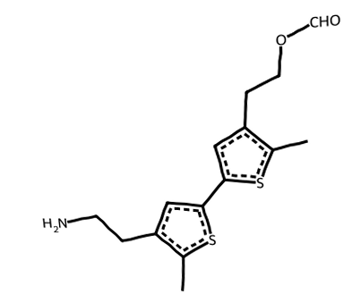 Cc1sc(-c2cc(CCOC=O)c(C)s2)cc1CCN